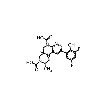 CC1CN2c3cc(-c4cc(F)cc(F)c4O)nnc3N(C(=O)O)C[C@H]2CN1C(=O)O